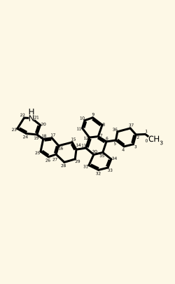 CCC1=CC=C(C2=c3ccccc3=C(C3=Cc4cc(C5=CNCC=C5)ccc4CC3)C3C=CC=CC23)CC1